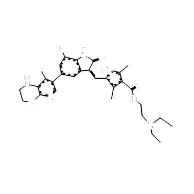 CCN(CC)CCNC(=O)c1c(C)[nH]c(/C=C2\C(=O)Nc3c(F)cc(-c4cnc5c(c4C)NCCO5)cc32)c1C